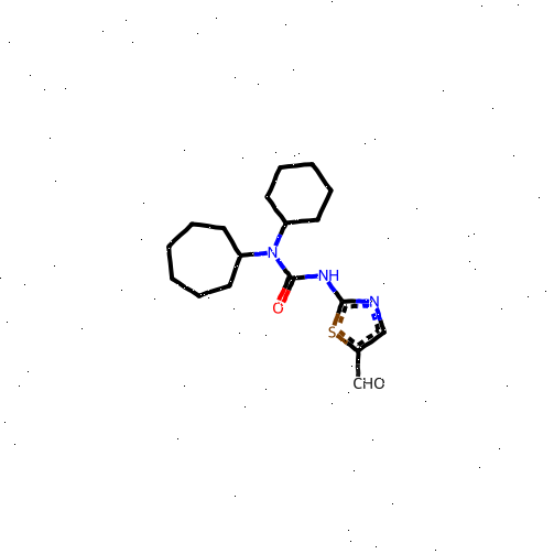 O=Cc1cnc(NC(=O)N(C2CCCCCC2)C2CCCCC2)s1